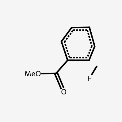 CF.COC(=O)c1ccccc1